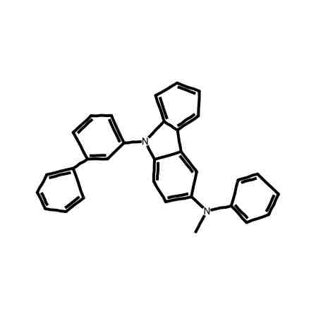 CN(c1ccccc1)c1ccc2c(c1)c1ccccc1n2-c1cccc(-c2ccccc2)c1